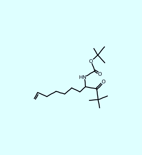 C=CCCCCCC(NC(=O)OC(C)(C)C)C(=O)C(C)(C)C